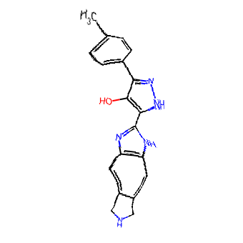 Cc1ccc(-c2n[nH]c(-c3nc4cc5c(cc4[nH]3)CNC5)c2O)cc1